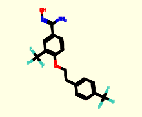 N/C(=N\O)c1ccc(OCCc2ccc(C(F)(F)F)cc2)c(C(F)(F)F)c1